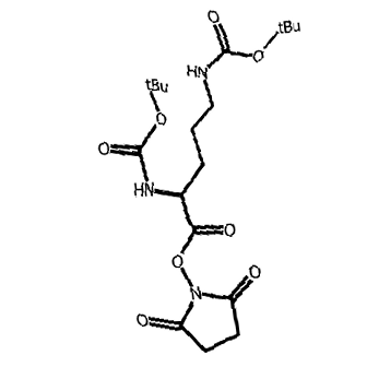 CC(C)(C)OC(=O)NCCCC(NC(=O)OC(C)(C)C)C(=O)ON1C(=O)CCC1=O